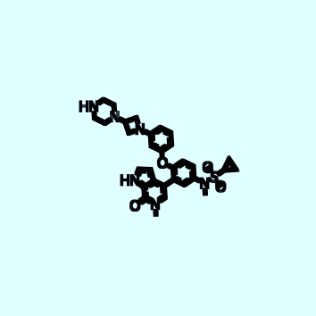 CN(c1ccc(Oc2cccc(N3CC(N4CCNCC4)C3)c2)c(-c2cn(C)c(=O)c3[nH]ccc23)c1)S(=O)(=O)C1CC1